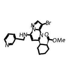 COC(=O)[C@H]1CCCC[C@H]1c1cc(NCc2cccnc2)n2ncc(Br)c2n1